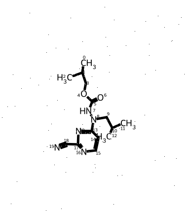 CC(C)COC(=O)NN(CC(C)C)c1ccnc(C#N)n1